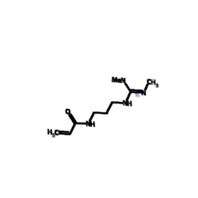 C=CC(=O)NCCCN/C(=N/C)NC